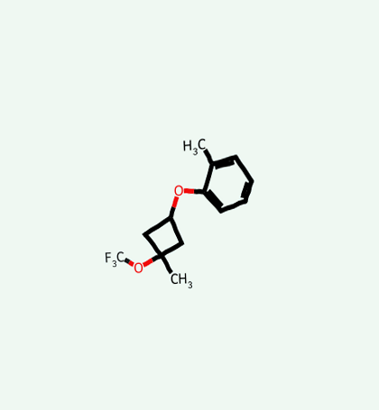 Cc1ccccc1OC1CC(C)(OC(F)(F)F)C1